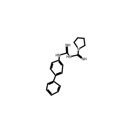 N=C(NC(=N)N1CCCC1)Nc1ccc(-c2ccccc2)cc1